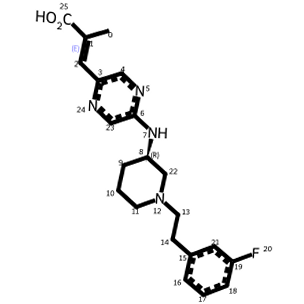 C/C(=C\c1cnc(N[C@@H]2CCCN(CCc3cccc(F)c3)C2)cn1)C(=O)O